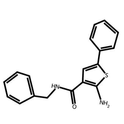 Nc1sc(-c2ccccc2)cc1C(=O)NCc1ccccc1